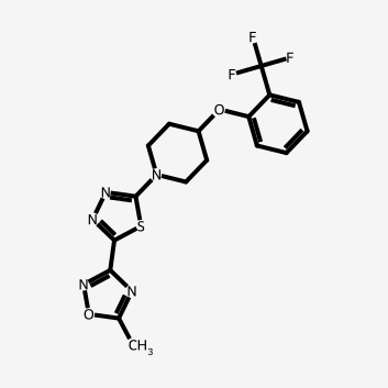 Cc1nc(-c2nnc(N3CCC(Oc4ccccc4C(F)(F)F)CC3)s2)no1